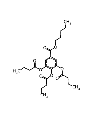 CCCCCOC(=O)c1cc(OC(=O)CCC)c(OC(=O)CCC)c(OC(=O)CCC)c1